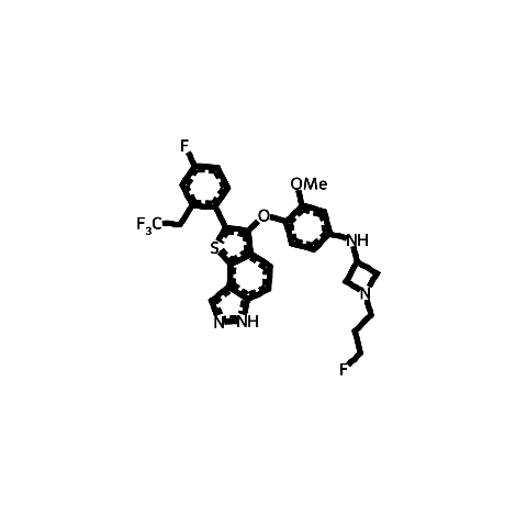 COc1cc(NC2CN(CCCF)C2)ccc1Oc1c(-c2ccc(F)cc2CC(F)(F)F)sc2c1ccc1[nH]ncc12